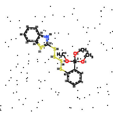 CO[Si](OC)(OC)c1ccccc1SSSSc1nc2ccccc2s1